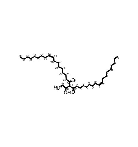 CCCCCCCC/C=C\CCCCCCCC(=O)[C](C(=O)CCCCCCC/C=C\CCCCCCCC)C(O)CO